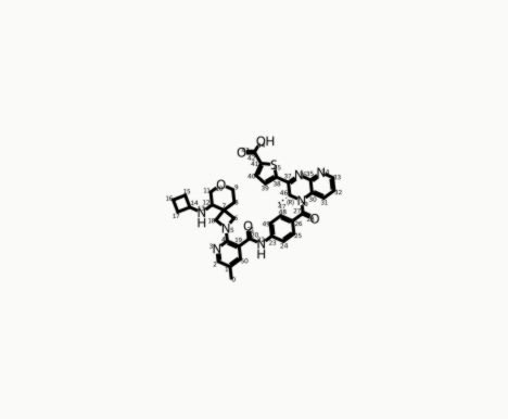 Cc1cnc(N2CC3(CCOCC3NC3CCC3)C2)c(C(=O)Nc2ccc(C(=O)N3c4cccnc4N=C(c4ccc(C(=O)O)s4)[C@H]3C)cc2)c1